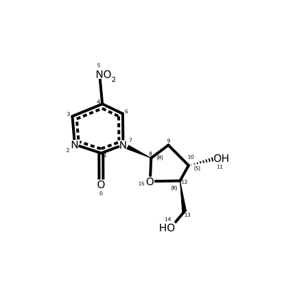 O=c1ncc([N+](=O)[O-])cn1[C@H]1C[C@H](O)[C@@H](CO)O1